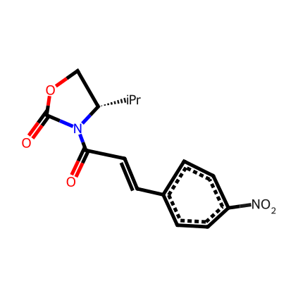 CC(C)[C@H]1COC(=O)N1C(=O)/C=C/c1ccc([N+](=O)[O-])cc1